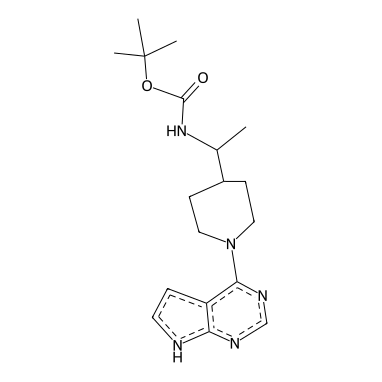 CC(NC(=O)OC(C)(C)C)C1CCN(c2ncnc3[nH]ccc23)CC1